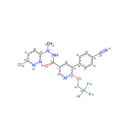 CN(NC(=O)c1cnc(OCC(F)(F)F)c(-c2ccc(C#N)cc2)c1)c1ccc(Cl)nn1